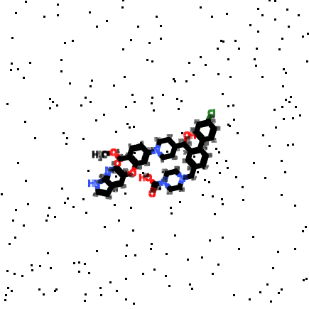 COC(=O)c1ccc(N2CCC([C@@H](O)c3cc(CN4CCN(C(=O)O)CC4)ccc3-c3ccc(Cl)cc3)CC2)cc1Oc1cnc2[nH]ccc2c1